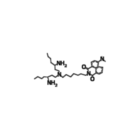 CCCCC(N)CCN(CCCCCCCN1C(=O)c2cccc3c(N(C)C)ccc(c23)C1=O)CCC(N)CCCC